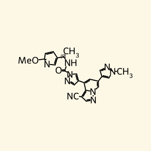 COc1ccc([C@H](C)NC(=O)n2cc(-c3cc(-c4cnn(C)c4)cn4ncc(C#N)c34)cn2)cn1